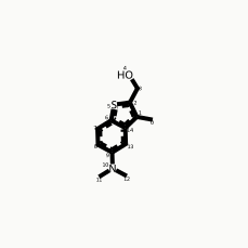 Cc1c(CO)sc2ccc(N(C)C)cc12